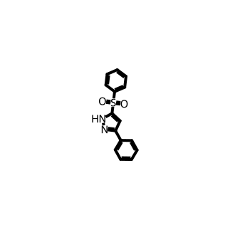 O=S(=O)(c1ccccc1)c1cc(-c2ccccc2)n[nH]1